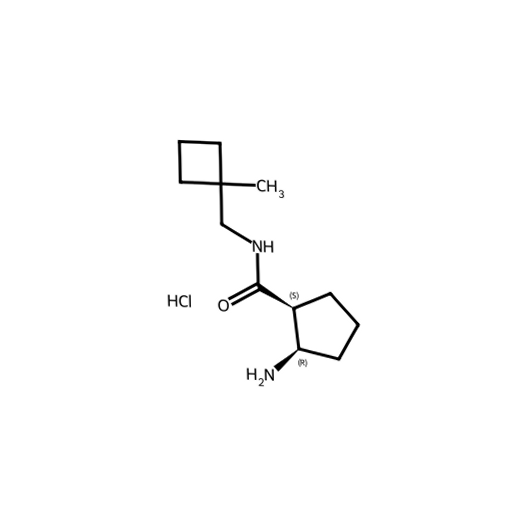 CC1(CNC(=O)[C@H]2CCC[C@H]2N)CCC1.Cl